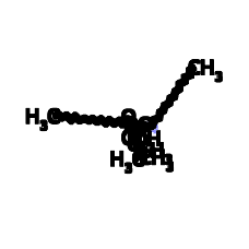 CCCCCCCCCCCCCCCC/C=C\O[C@H](COC(=O)CCCCCCCCCCCCCCCCC)COP(=O)(O)OCC[N+](C)(C)C